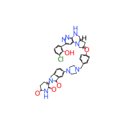 O=C1CC[C@H](N2Cc3ccc(N4CCN(Cc5ccc(O[C@@H]6C[C@@H]7CNc8nnc(-c9cccc(Cl)c9O)cc8N7C6)cc5)CC4)cc3C2=O)C(=O)N1